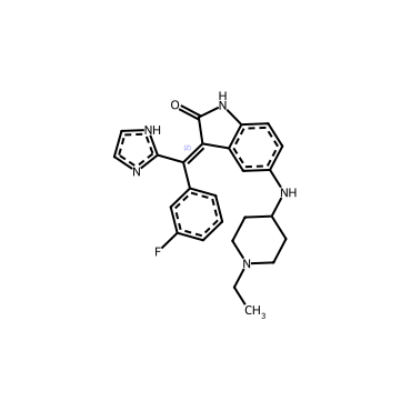 CCN1CCC(Nc2ccc3c(c2)/C(=C(\c2cccc(F)c2)c2ncc[nH]2)C(=O)N3)CC1